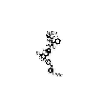 CCC(=O)NC(Cc1ccc(NC(=O)C(NC(=O)c2ccnn2C)C2CCCCC2)cc1)C(=O)N1CCN(Cc2cccc(OC)c2)CC1